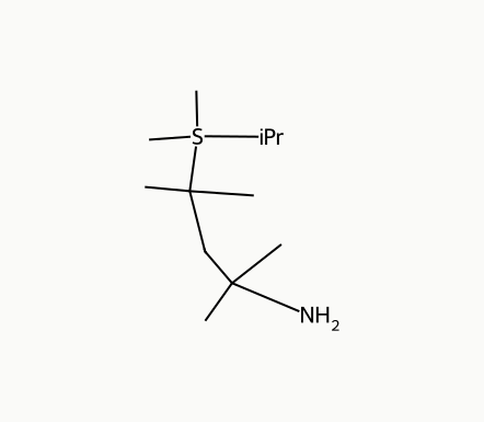 CC(C)S(C)(C)C(C)(C)CC(C)(C)N